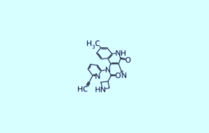 C#Cc1cccc(N(C(=O)C2CNC2)c2c(C#N)c(=O)[nH]c3cc(C)ccc23)n1